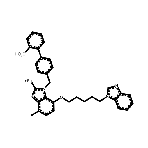 CCCCc1nc2c(C)ccc(OCCCCCn3cnc4ccccc43)c2n1Cc1ccc(-c2ccccc2C(=O)O)cc1